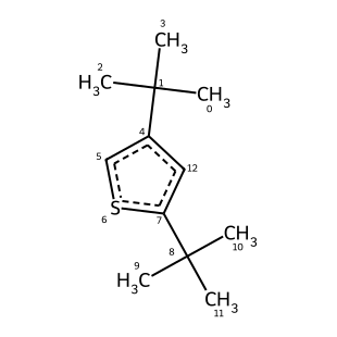 CC(C)(C)c1csc(C(C)(C)C)c1